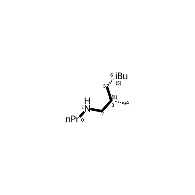 CCCNC[C@@H](C)C[C@@H](C)CC